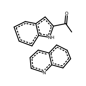 CC(=O)c1cc2ccccc2[nH]1.c1ccc2ncccc2c1